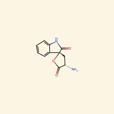 N[C@H]1C[C@]2(OC1=O)C(=O)Nc1ccccc12